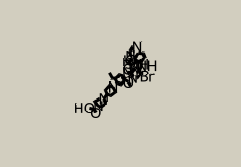 CCc1cc(Nc2ncc(Br)c(Nc3ccc4nccnc4c3NS(C)(=O)=O)n2)c(OC)cc1N1CCC(N2CCN(C(=O)O)CC2)CC1